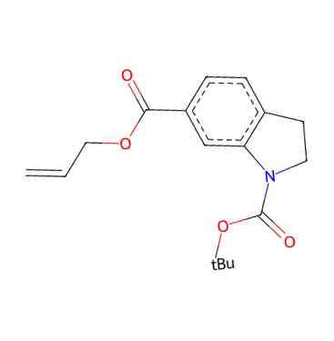 C=CCOC(=O)c1ccc2c(c1)N(C(=O)OC(C)(C)C)CC2